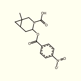 CC12CC1CC(OC(=O)c1ccc([N+](=O)[O-])cc1)N(C(=O)O)C2